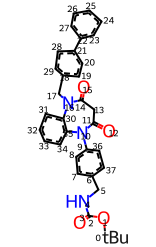 CC(C)(C)OC(=O)NCc1ccc(N2C(=O)CC(=O)N(Cc3ccc(-c4ccccc4)cc3)c3ccccc32)cc1